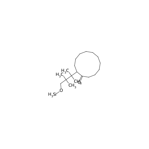 CC(C)(CO[SiH3])C(C)(C)C1CCCCCCCCCCC1=O